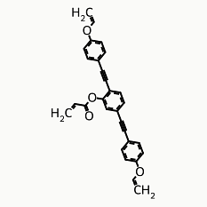 C=COc1ccc(C#Cc2ccc(C#Cc3ccc(OC=C)cc3)c(OC(=O)C=C)c2)cc1